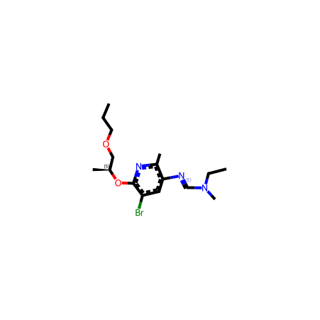 CCCOC[C@H](C)Oc1nc(C)c(/N=C/N(C)CC)cc1Br